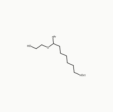 CCCCCCCCCCCCCCC(CCC)OCCO